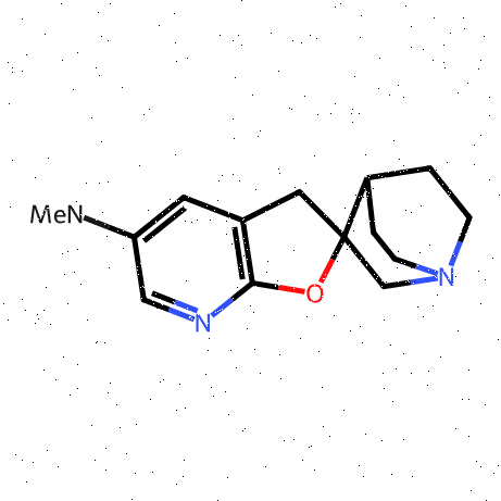 CNc1cnc2c(c1)CC1(CN3CCC1CC3)O2